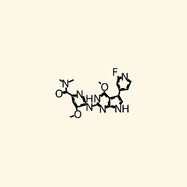 COc1cc(C(=O)N(C)C)ncc1Nc1nc(OC)c2c(-c3ccnc(F)c3)c[nH]c2n1